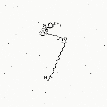 CCCCCCCCCCCCCCCCC1COC(COCCCCCN2C=CSC2OS(=O)(=O)c2ccc(C)cc2)C1